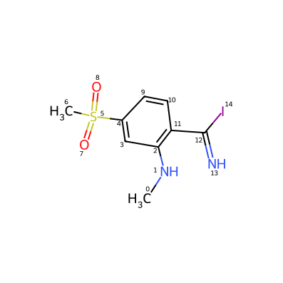 CNc1cc(S(C)(=O)=O)ccc1C(=N)I